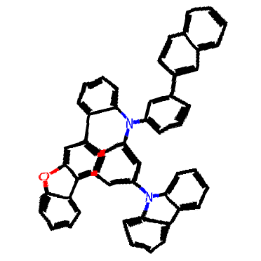 c1cc(-c2ccc3ccccc3c2)cc(N(c2cccc(-n3c4ccccc4c4ccccc43)c2)c2ccccc2-c2ccc3c(c2)oc2ccccc23)c1